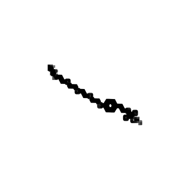 CS(=O)(=O)OCCc1ccc(OCCOCCOCCOCCN=[N+]=[N-])cc1